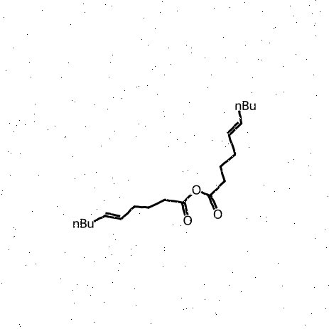 CCCCC=CCCCC(=O)OC(=O)CCCC=CCCCC